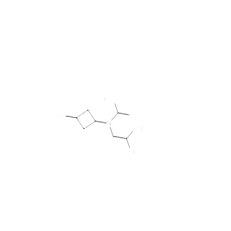 CC(C)CN(C(C)C)C1CC(C)C1